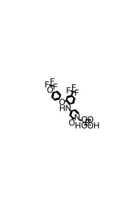 O=c1cc(Nc2ccc(C(F)(F)F)cc2Oc2ccc(OC(F)(F)F)cc2)ccn1COP(=O)(O)O